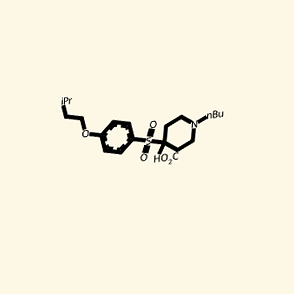 CCCCN1CCC(C(=O)O)(S(=O)(=O)c2ccc(OCCC(C)C)cc2)CC1